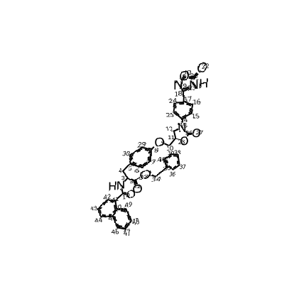 O=C(NC(Cc1ccc(OCC2CN(c3ccc(-c4noc(=O)[nH]4)cc3)C(=O)O2)cc1)C(=O)OCc1ccccc1)c1cccc2ccccc12